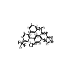 CN(c1cccc(-c2ccc(C(C)(F)F)cc2)c1)c1nc2nncn2c2cc(Cl)ccc12